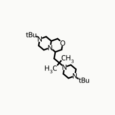 CC(C)(C)N1CCN(C(C)(C)CC2COCC3CN(C(C)(C)C)CCN32)CC1